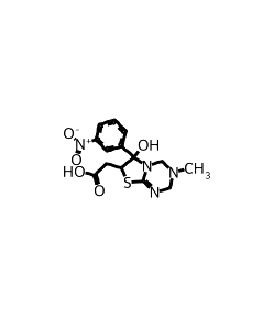 CN1CN=C2SC(CC(=O)O)C(O)(c3cccc([N+](=O)[O-])c3)N2C1